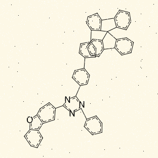 c1ccc(-c2nc(-c3ccc(-c4ccc(-c5cccc6c5C5(c7ccccc7-c7ccccc75)c5ccccc5-6)cc4)cc3)nc(-c3ccc4oc5ccccc5c4c3)n2)cc1